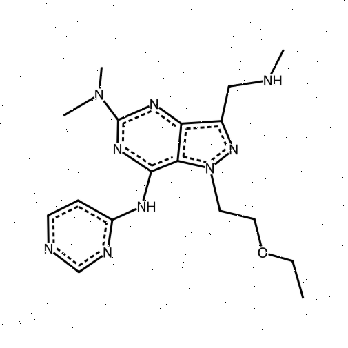 CCOCCn1nc(CNC)c2nc(N(C)C)nc(Nc3ccncn3)c21